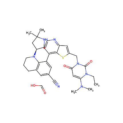 CCn1c(N(C)C)cc(=O)n(Cc2cc3nccc(-c4cc(C#N)cc5c4N([C@@H]4CNC(C)(C)C4)CCC5)c3s2)c1=O.O=CO